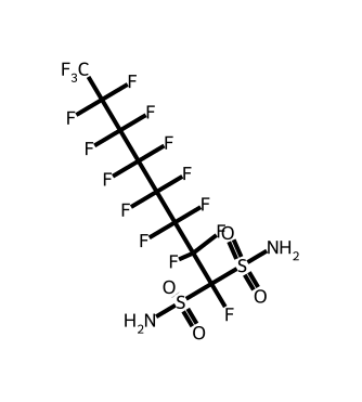 NS(=O)(=O)C(F)(C(F)(F)C(F)(F)C(F)(F)C(F)(F)C(F)(F)C(F)(F)C(F)(F)F)S(N)(=O)=O